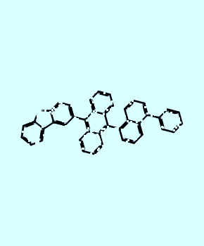 c1ccc(-c2cccc3c(-c4c5ccccc5c(-c5ccc6oc7ccccc7c6c5)c5ccccc45)cccc23)cc1